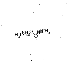 CN(C)Cc1ccc(C(=O)C=Cc2ccccc2CN2CCN(C)CC2)cc1